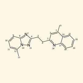 Cc1cc(CCc2nc3cccc(C)n3n2)nc2ccccc12